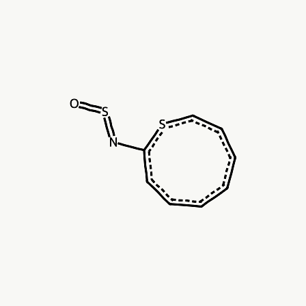 O=S=Nc1cccccccs1